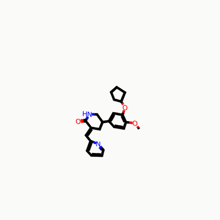 COc1ccc(C2CNC(=O)C(=Cc3ccccn3)C2)cc1OC1CCCC1